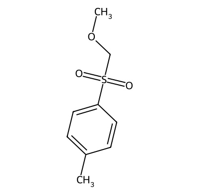 COCS(=O)(=O)c1ccc(C)cc1